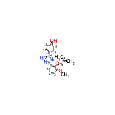 COc1cccc(-c2n[nH]c(-c3ccc(O)cc3)n2)c1OCC(C)C